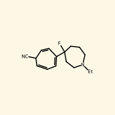 CCN1CCCC(F)(C2=CC=CC(C#N)C=C2)CC1